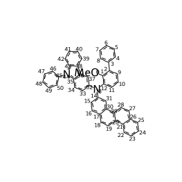 COc1c(-c2ccccc2)cccc1N(c1ccc2ccc3c4ccccc4ccc3c2c1)c1ccc2c(c1)c1ccccc1n2-c1ccccc1